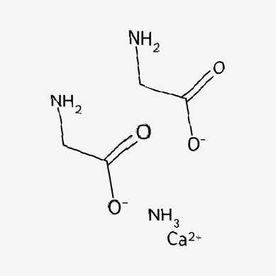 N.NCC(=O)[O-].NCC(=O)[O-].[Ca+2]